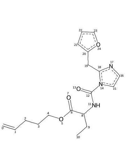 C=CCCCOC(=O)C(CC)NC(=O)n1ccnc1Cc1ccco1